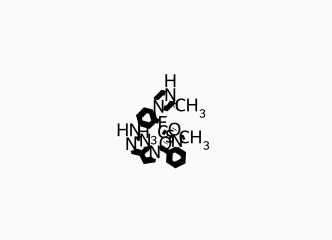 C[C@@H]1CN(c2ccc(Nc3ncc4ccn(Cc5ccccc5N(C)S(C)(=O)=O)c4n3)cc2F)CCN1